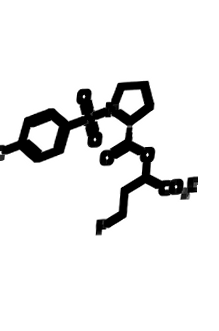 CCOC(=O)C(CCF)OC(=O)[C@H]1CCCN1S(=O)(=O)c1ccc(C)cc1